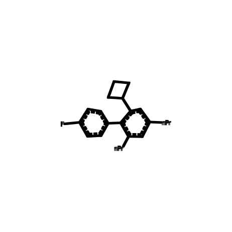 CCCc1cc(CCC)c(-c2ccc(F)cc2)c(C2CCC2)c1